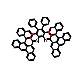 c1ccc(-c2c(-c3ccccc3)c3ccc(-c4cc5ccccc5c5cc6ccccc6c(-c6cccc7ccccc67)c45)nc3c3nc(-c4cc5ccccc5c5cc6ccccc6c(-c6cccc7ccccc67)c45)ccc23)cc1